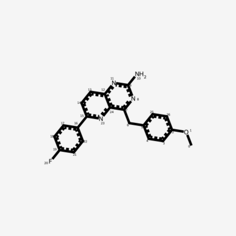 COc1ccc(Cc2nc(N)nc3ccc(-c4ccc(F)cc4)nc23)cc1